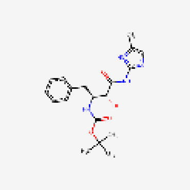 Cc1cnc(NC(=O)[C@H](O)[C@H](Cc2ccccc2)NC(=O)OC(C)(C)C)[nH]1